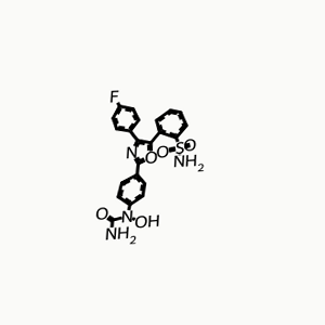 NC(=O)N(O)c1ccc(-c2nc(-c3ccc(F)cc3)c(-c3ccccc3S(N)(=O)=O)o2)cc1